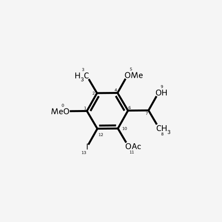 COc1c(C)c(OC)c(C(C)O)c(OC(C)=O)c1I